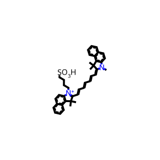 CN1/C(=C/C=C/C=C/C=C/C2=[N+](CCCCS(=O)(=O)O)c3ccc4ccccc4c3C2(C)C)C(C)(C)c2c1ccc1ccccc21